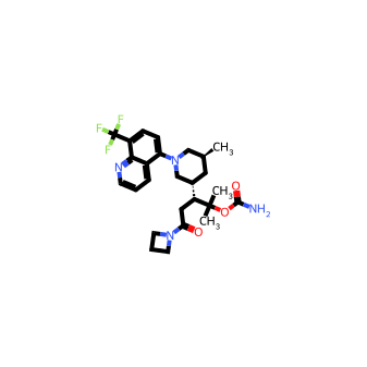 C[C@H]1C[C@H](C(CC(=O)N2CCC2)C(C)(C)OC(N)=O)CN(c2ccc(C(F)(F)F)c3ncccc23)C1